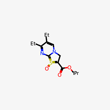 CCC1=CN2CC(C(=O)OC(C)C)=S(=O)=C2N=C1CC